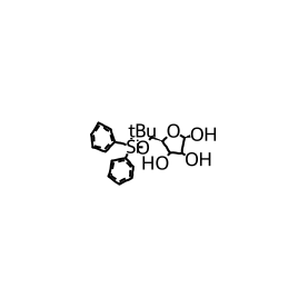 CC(C)(C)[Si](OC[C@H]1O[C@@H](O)C(O)C1O)(c1ccccc1)c1ccccc1